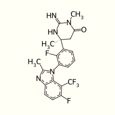 Cc1nc2ccc(F)c(C(F)(F)F)c2n1-c1cccc([C@]2(C)CC(=O)N(C)C(=N)N2)c1F